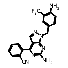 N#Cc1ccccc1-c1nc(N)nc2c1cnn2Cc1ccc(N)c(C(F)(F)F)c1